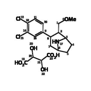 COCC1C2CCC(CC1c1ccc(Cl)c(Cl)c1)N2.O=C(O)C(O)C(O)C(=O)O